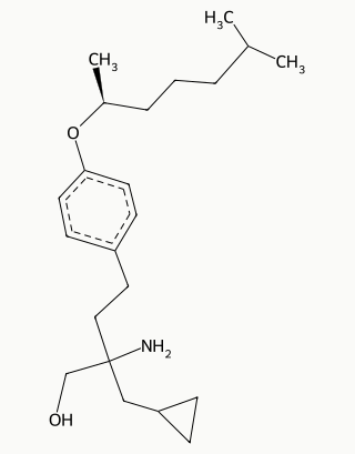 CC(C)CCC[C@H](C)Oc1ccc(CCC(N)(CO)CC2CC2)cc1